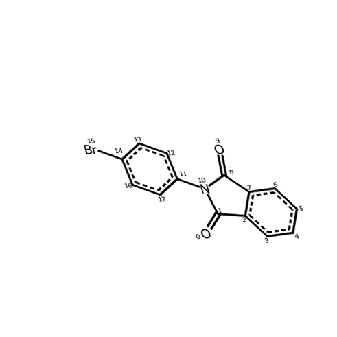 O=C1c2ccccc2C(=O)N1c1ccc(Br)cc1